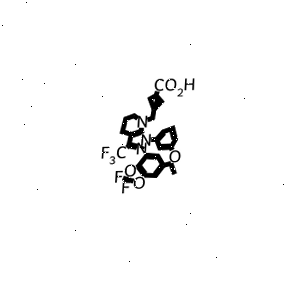 CC(Oc1cccc(-n2nc(C(F)(F)F)c3c2N(CC24CC(C(=O)O)(C2)C4)CCC3)c1)c1ccc2c(c1)OC(F)(F)O2